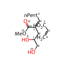 C=CC(=O)O.CCCCCC=C(CC(O)CO)C(=O)OC